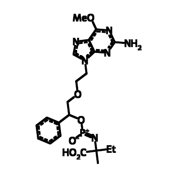 CCC(C)(/N=[P+](\[O-])OC(COCCn1cnc2c(OC)nc(N)nc21)c1ccccc1)C(=O)O